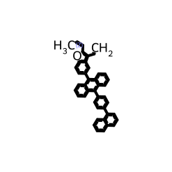 C=Cc1c(/C=C\C)oc2ccc(-c3c4ccccc4c(-c4ccc(-c5cccc6ccccc56)cc4)c4ccccc34)cc12